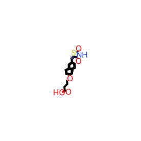 O=C(O)CCCOc1ccc2cc(/C=C3/SC(=O)NC3=O)ccc2c1